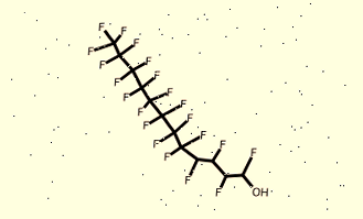 OC(F)C(F)C(F)C(F)C(F)(F)C(F)(F)C(F)(F)C(F)(F)C(F)(F)C(F)(F)C(F)(F)C(F)(F)F